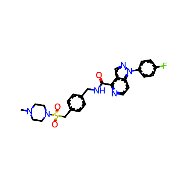 CN1CCN(S(=O)(=O)Cc2ccc(CNC(=O)c3nccc4c3cnn4-c3ccc(F)cc3)cc2)CC1